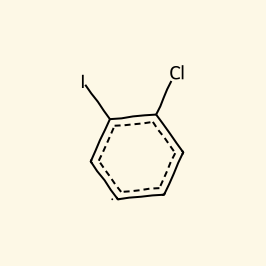 Clc1cc[c]cc1I